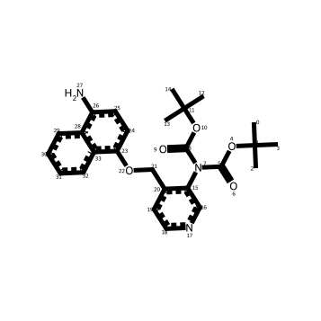 CC(C)(C)OC(=O)N(C(=O)OC(C)(C)C)c1cnccc1COc1ccc(N)c2ccccc12